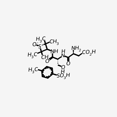 CC1(C)C(NC(=O)[C@@H](CO)NC(=O)[C@@H](N)CC(=O)O)C(C)(C)[S+]1[O-].Cc1ccc(S(=O)(=O)O)cc1